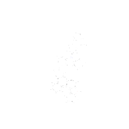 CC1(C)c2ccccc2-c2ccc(N(c3ccccc3)c3cccc(-c4ccc5c6ccccc6c6c(ccc7oc8ccccc8c76)c5c4)c3)cc21